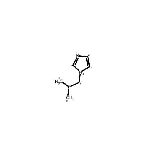 CP(C)Cn1ccnc1